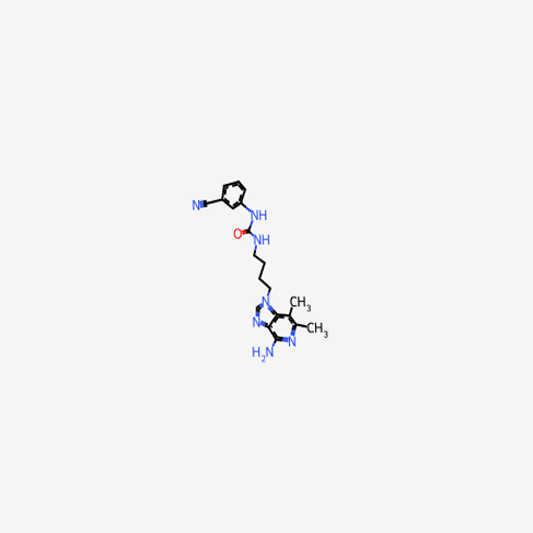 Cc1nc(N)c2ncn(CCCCNC(=O)Nc3cccc(C#N)c3)c2c1C